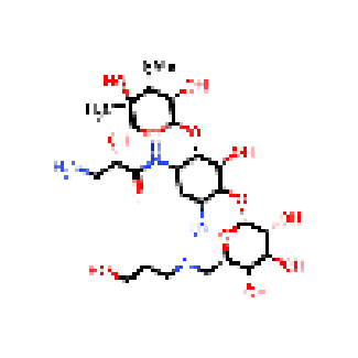 CN[C@@H]1[C@@H](O)[C@@H](O[C@H]2[C@H](NC(=O)[C@@H](O)CN)C[C@H](N)C(O[C@H]3O[C@H](CNCCCO)[C@@H](O)[C@H](O)[C@H]3O)[C@@H]2O)OC[C@]1(C)O